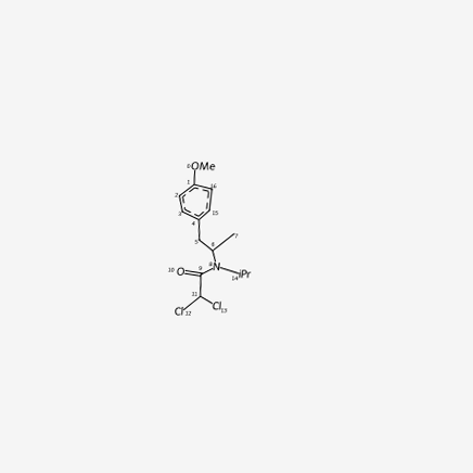 COc1ccc(CC(C)N(C(=O)C(Cl)Cl)C(C)C)cc1